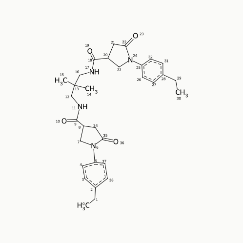 CCc1ccc(N2CC(C(=O)NCC(C)(C)CNC(=O)C3CC(=O)N(c4ccc(CC)cc4)C3)CC2=O)cc1